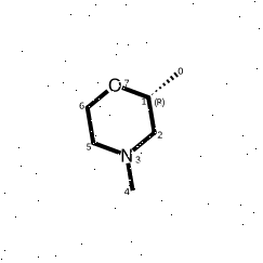 C[C@@H]1CN(C)CCO1